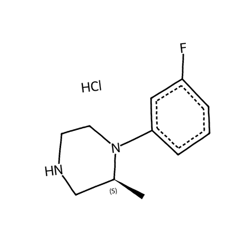 C[C@H]1CNCCN1c1cccc(F)c1.Cl